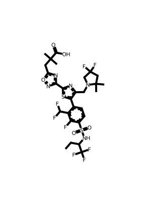 CCC(NS(=O)(=O)c1ccc(-c2sc(-c3noc(CC(C)(C)C(=O)O)n3)nc2CN2CC(F)(F)CC2(C)C)c(C(F)F)c1F)C(F)(F)F